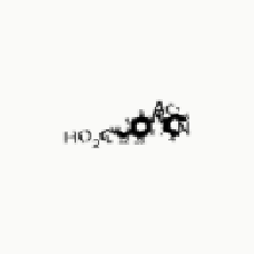 CC(=O)N(c1ccncc1)c1ccc(C=CC(=O)O)cc1